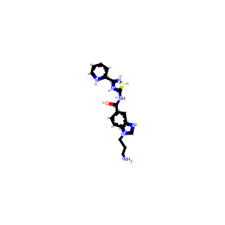 NCCCn1cnc2cc(C(=O)Nc3nc(-c4ccccn4)ns3)ccc21